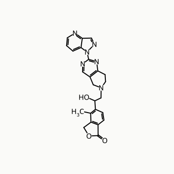 Cc1c(C(O)CN2CCc3nc(-n4ncc5ncccc54)ncc3C2)ccc2c1COC2=O